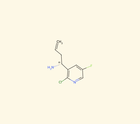 C=CC[C@@H](N)c1cc(F)cnc1Cl